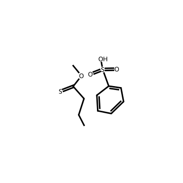 CCCC(=S)OC.O=S(=O)(O)c1ccccc1